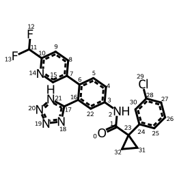 O=C(Nc1ccc(-c2ccc(C(F)F)nc2)c(-c2nnn[nH]2)c1)C1(c2cccc(Cl)c2)CC1